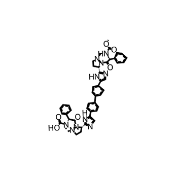 COC(=O)N[C@H](C(=O)N1[C@H](c2ncc(-c3ccc(-c4ccc(-c5cnc([C@@H]6CCN(C)N6C(=O)[C@@H](c6ccccc6)N(C)C(=O)O)[nH]5)cc4)cc3)[nH]2)CCN1C)c1ccccc1